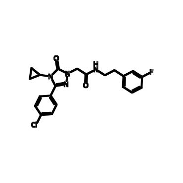 O=C(Cn1nc(-c2ccc(Cl)cc2)n(C2CC2)c1=O)NCCc1cccc(F)c1